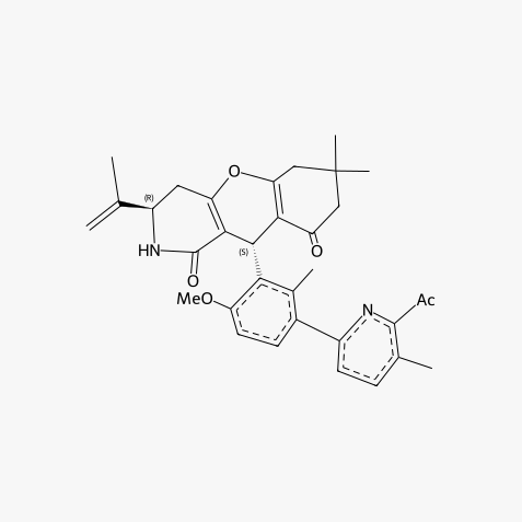 C=C(C)[C@H]1CC2=C(C(=O)N1)[C@@H](c1c(OC)ccc(-c3ccc(C)c(C(C)=O)n3)c1C)C1=C(CC(C)(C)CC1=O)O2